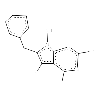 N#Cc1nc(F)c2c(F)c(Cc3ccccc3)n(N)c2n1